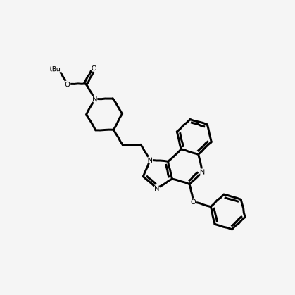 CC(C)(C)OC(=O)N1CCC(CCn2cnc3c(Oc4ccccc4)nc4ccccc4c32)CC1